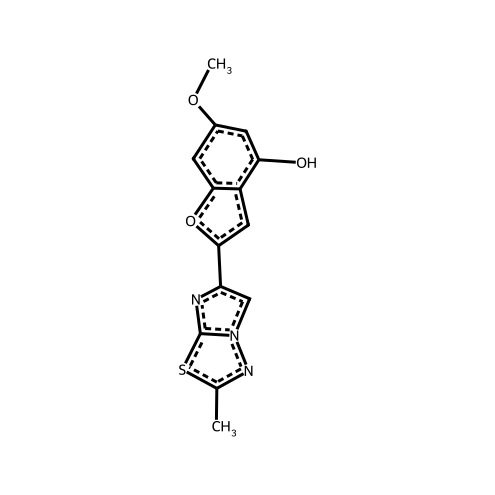 COc1cc(O)c2cc(-c3cn4nc(C)sc4n3)oc2c1